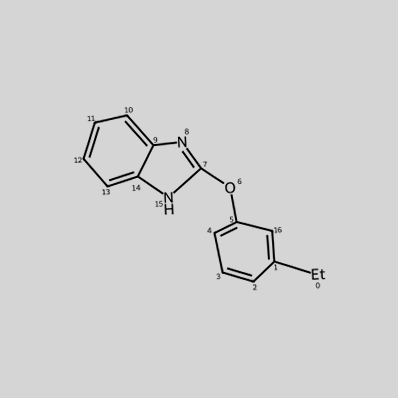 CCc1cccc(Oc2nc3ccccc3[nH]2)c1